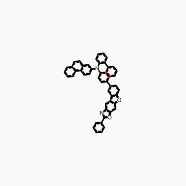 c1ccc(-c2nc3cc4c(cc3o2)oc2ccc(-c3ccc(N(c5ccc6c(ccc7ccccc76)c5)c5ccccc5-c5ccccc5)cc3)cc24)cc1